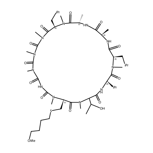 COCCCCSC[C@@H]1C(=O)N(C)C(C(C)O)C(=O)N[C@H](C(C)C)C(=O)N(C)[C@H](CC(C)C)C(=O)N[C@H](C)C(=O)N[C@@H](C)C(=O)N(C)[C@H](CC(C)C)C(=O)N(C)C(=O)N(C)C(=O)N(C)C(=O)NC(=O)N1C